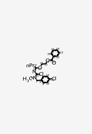 CCCC(N=C(Cl)N(C)Cc1ccc(Cl)cc1)OCCOC(=O)c1ccccc1